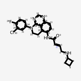 O=C(/C=C/CNC1CCC1)Nc1ccc2ncnc3c2c1CCN3c1ccc(F)c(Cl)c1